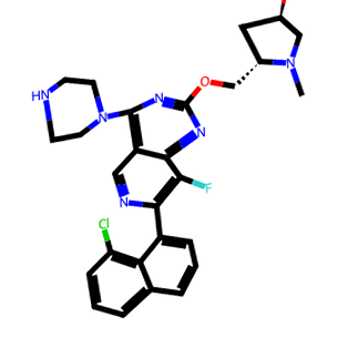 CO[C@@H]1C[C@@H](COc2nc(N3CCNCC3)c3cnc(-c4cccc5cccc(Cl)c45)c(F)c3n2)N(C)C1